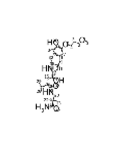 COCCCOc1cc(C[C@H]2C[C@@H]([C@@H](O)C[C@H](C(=O)NCC(C)(C)C(N)=O)C(C)C)NC2C)ccc1O